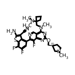 CN1CC[C@H](COc2nc(N(C)CC3(N(C)C)CCC3)c3cnc(-c4cc(F)c(F)c5sc(N)c(C#N)c45)c(F)c3n2)C1